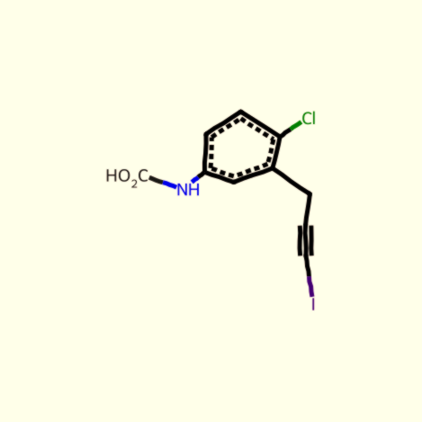 O=C(O)Nc1ccc(Cl)c(CC#CI)c1